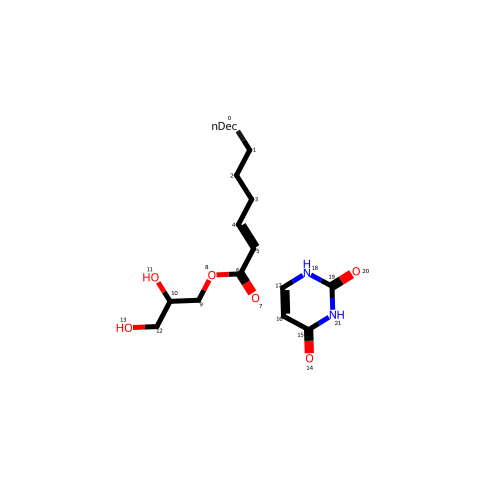 CCCCCCCCCCCCCC=CC(=O)OCC(O)CO.O=c1cc[nH]c(=O)[nH]1